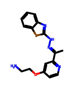 C/C(=N\Nc1nc2ccccc2s1)c1cc(OCCN)ccn1